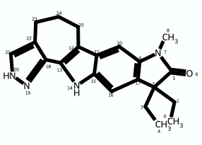 CCC1(CC)C(=O)N(C)c2cc3c4c([nH]c3cc21)-c1n[nH]cc1CCC4